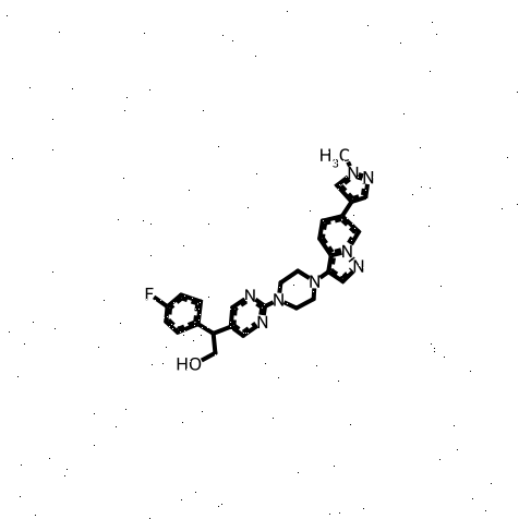 Cn1cc(-c2ccc3c(N4CCN(c5ncc(C(CO)c6ccc(F)cc6)cn5)CC4)cnn3c2)cn1